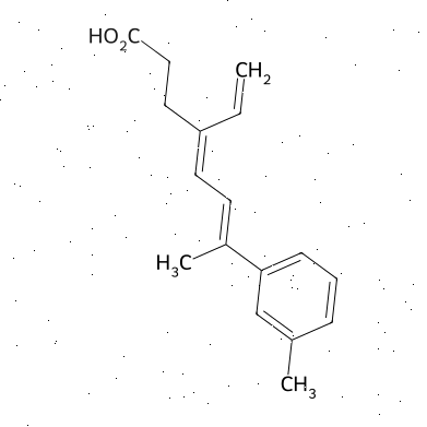 C=C/C(=C\C=C(/C)c1cccc(C)c1)CCC(=O)O